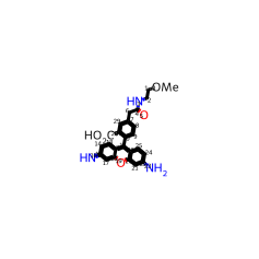 COCCNC(=O)Cc1ccc(-c2c3ccc(=N)cc-3oc3cc(N)ccc23)c(C(=O)O)c1